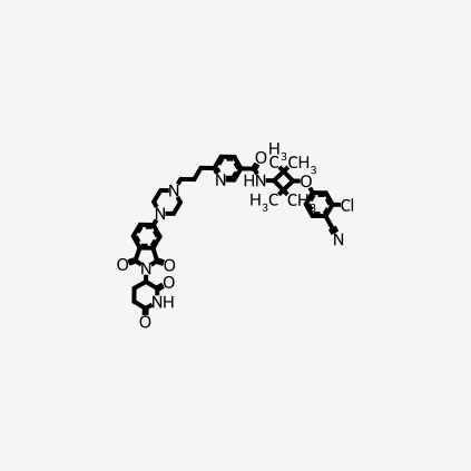 CC1(C)C(NC(=O)c2ccc(CCCN3CCN(c4ccc5c(c4)C(=O)N(C4CCC(=O)NC4=O)C5=O)CC3)nc2)C(C)(C)C1Oc1ccc(C#N)c(Cl)c1